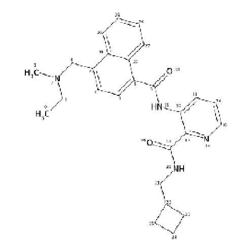 CCN(C)Cc1ccc(C(=O)Nc2cccnc2C(=O)NCC2CCC2)c2ccccc12